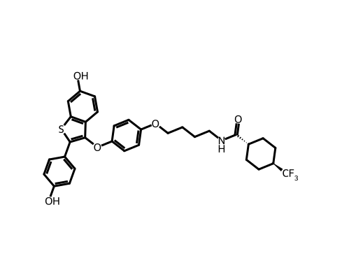 O=C(NCCCCOc1ccc(Oc2c(-c3ccc(O)cc3)sc3cc(O)ccc23)cc1)[C@H]1CC[C@H](C(F)(F)F)CC1